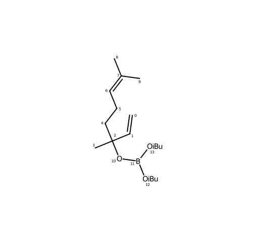 C=CC(C)(CCC=C(C)C)OB(OCC(C)C)OCC(C)C